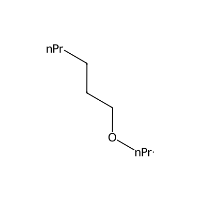 [CH2]CCCCCO[CH]CC